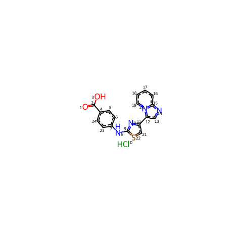 Cl.O=C(O)c1ccc(Nc2nc(-c3cnc4ccccn34)cs2)cc1